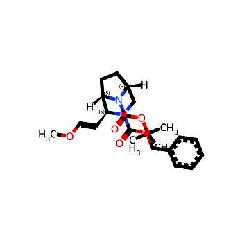 COC=C[C@H]1[C@@H]2CC[C@H](CN1C(=O)OCc1ccccc1)N2C(=O)OC(C)(C)C